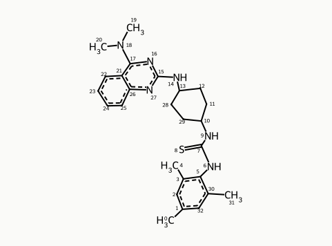 Cc1cc(C)c(NC(=S)NC2CCC(Nc3nc(N(C)C)c4ccccc4n3)CC2)c(C)c1